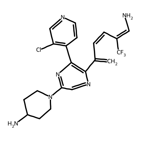 C=C(/C=C\C(=C/N)C(F)(F)F)c1ncc(N2CCC(N)CC2)nc1-c1ccncc1Cl